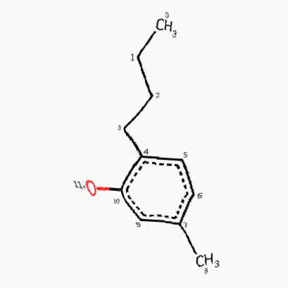 CCCCc1ccc(C)cc1[O]